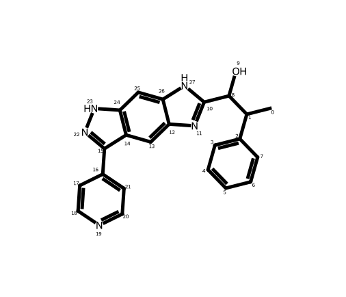 CC(c1ccccc1)C(O)c1nc2cc3c(-c4ccncc4)n[nH]c3cc2[nH]1